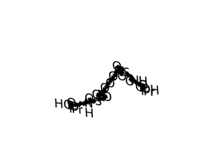 CC(C)P(=O)(O)OCCCCCNC(=O)CCSC1CC(=O)N(CCOCCOCCOCCN2C(=O)CC(SCCC(=O)NCCOP(=O)(O)C(C)C)C2=O)C1=O